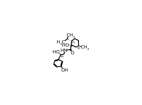 CC(C)[C@@H]1CC[C@@H](C)C[C@@]1(O)C(=O)NC[C@H](O)c1cccc(O)c1